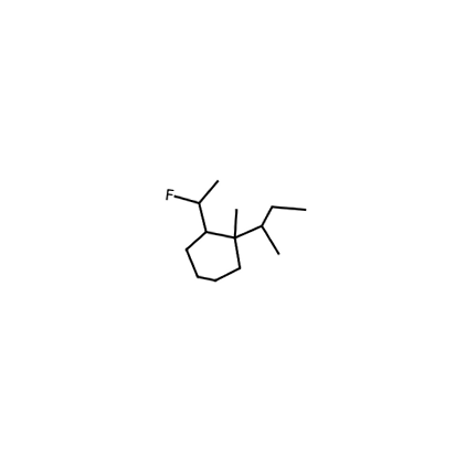 CCC(C)C1(C)CCCCC1C(C)F